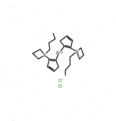 CCCC[Si]1(C2=[C]([Zr+2][C]3=C([Si]4(CCCC)CCC4)C=CC3)CC=C2)CCC1.[Cl-].[Cl-]